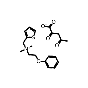 CC(=O)CC(=O)C(=O)[O-].C[N+](C)(CCOc1ccccc1)Cc1cccs1